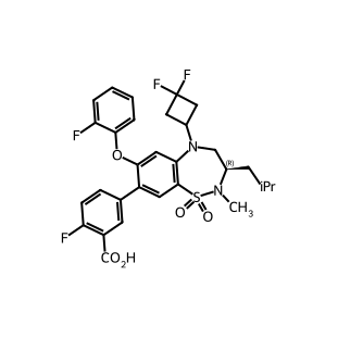 CC(C)C[C@@H]1CN(C2CC(F)(F)C2)c2cc(Oc3ccccc3F)c(-c3ccc(F)c(C(=O)O)c3)cc2S(=O)(=O)N1C